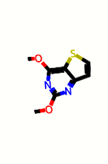 COc1nc(OC)c2sccc2n1